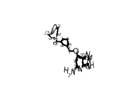 Nc1cc(OCc2cccc(C(=O)N3CCOCC3)c2)c2nn[nH]c2n1